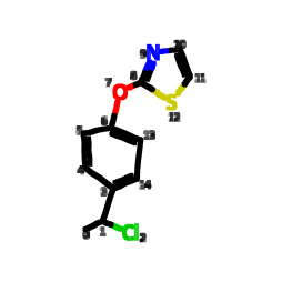 CC(Cl)c1ccc(Oc2nccs2)cc1